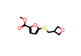 COC(=O)c1ccc(SCC2COC2)o1